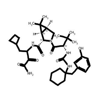 CC(C)(C)[C@H](NC(=O)NC1(Cc2cccc(O)c2)CCCCC1)C(=O)N1C[C@H]2[C@@H]([C@H]1C(=O)NC(CC1CCC1)C(=O)C(N)=O)C2(C)C